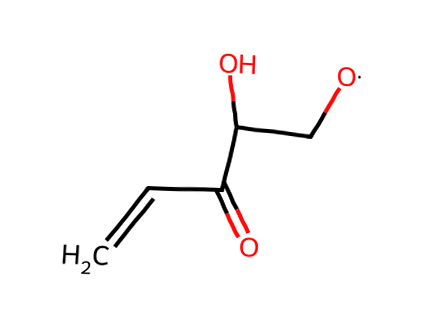 C=CC(=O)C(O)C[O]